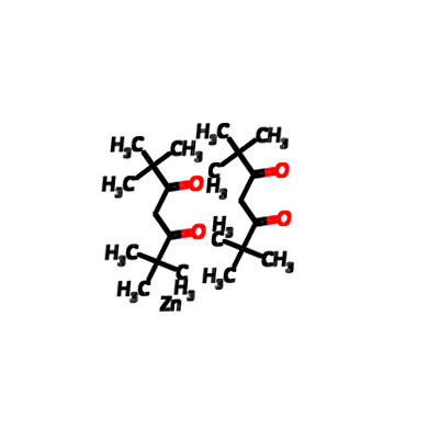 CC(C)(C)C(=O)CC(=O)C(C)(C)C.CC(C)(C)C(=O)CC(=O)C(C)(C)C.[Zn]